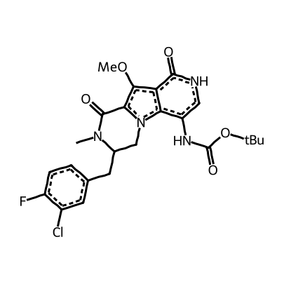 COc1c2n(c3c(NC(=O)OC(C)(C)C)c[nH]c(=O)c13)CC(Cc1ccc(F)c(Cl)c1)N(C)C2=O